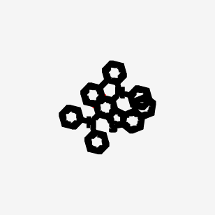 c1ccc(-c2ccccc2N(c2ccccc2)c2ccc(N(c3ccccc3)c3ccccc3)c3sc4ccc5ccccc5c4c23)cc1